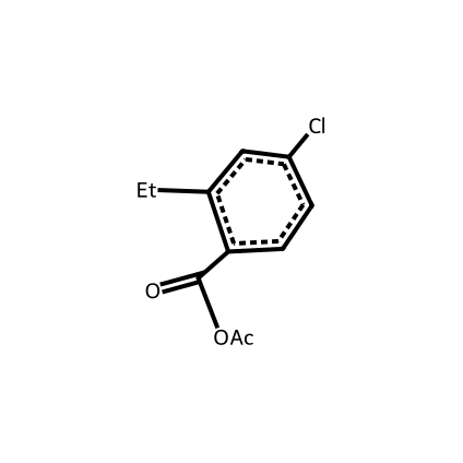 CCc1cc(Cl)ccc1C(=O)OC(C)=O